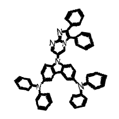 c1ccc(-c2nc3ncc(-n4c5ccc(N(c6ccccc6)c6ccccc6)cc5c5cc(N(c6ccccc6)c6ccccc6)ccc54)cn3c2-c2ccccc2)cc1